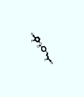 N#CC(F)=CC=C[C@H]1CC[C@H](C(=O)Oc2ccc(C#N)c(F)c2)CC1